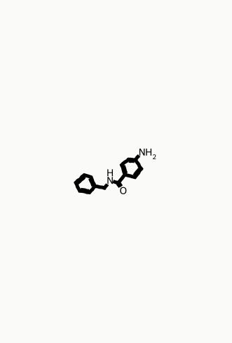 Nc1ccc(C(=O)NCc2ccccc2)cc1